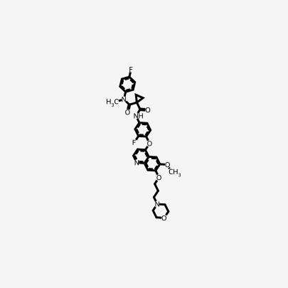 COc1cc2c(Oc3ccc(NC(=O)C4(C(=O)N(C)c5ccc(F)cc5)CC4)cc3F)ccnc2cc1OCCCN1CCOCC1